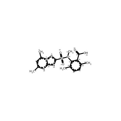 Cc1cc(C)n2nc(S(=O)(=O)N(C)c3c(C)ccc(C)c3C(=O)O)nc2n1